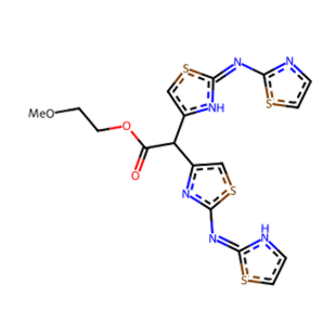 COCCOC(=O)C(c1csc(/N=c2\[nH]ccs2)n1)c1cs/c(=N/c2nccs2)[nH]1